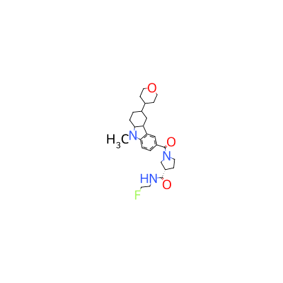 CN1c2ccc(C(=O)N3CC[C@H](C(=O)NCCF)C3)cc2C2CC(C3CCOCC3)CCC21